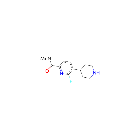 CNC(=O)c1ccc(C2CCNCC2)c(F)n1